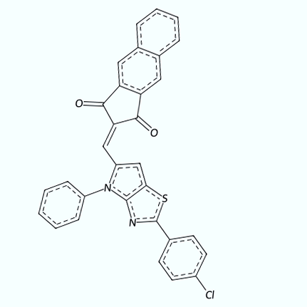 O=C1C(=Cc2cc3sc(-c4ccc(Cl)cc4)nc3n2-c2ccccc2)C(=O)c2cc3ccccc3cc21